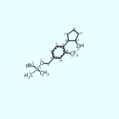 CC(C)(C)[Si](C)(C)OCc1ccc(C2CCCC2O)c(C(F)(F)F)c1